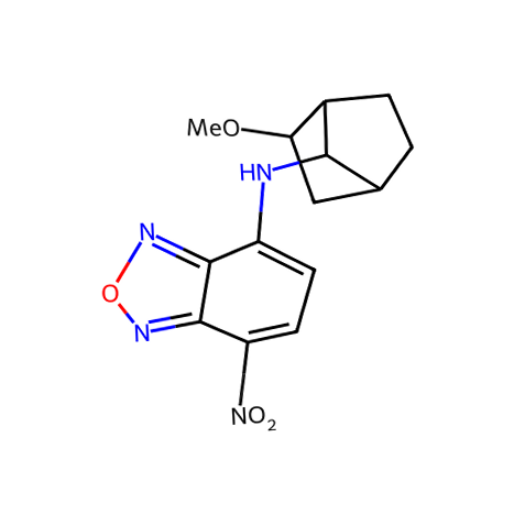 COC1CC2CCC1C2Nc1ccc([N+](=O)[O-])c2nonc12